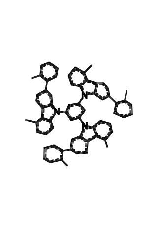 Cc1ccccc1-c1ccc2c3c(C)cccc3n(-c3cc(-n4c5cc(-c6ccccc6C)ccc5c5c(C)cccc54)cc(-n4c5cc(-c6ccccc6C)ccc5c5c(C)cccc54)c3)c2c1